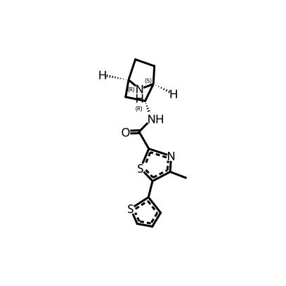 Cc1nc(C(=O)N[C@@H]2C[C@H]3CC[C@@H]2N3)sc1-c1cccs1